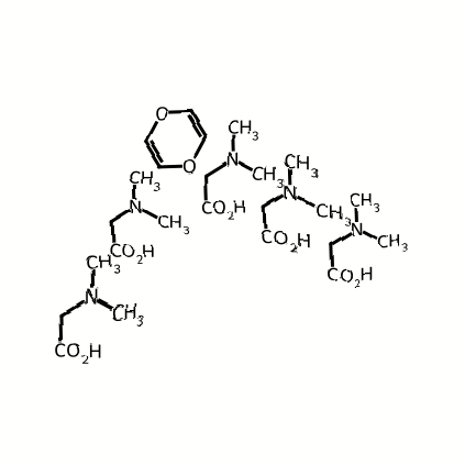 C1=COC=CO1.CN(C)CC(=O)O.CN(C)CC(=O)O.CN(C)CC(=O)O.CN(C)CC(=O)O.CN(C)CC(=O)O